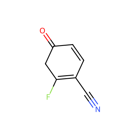 N#CC1=C(F)CC(=O)C=C1